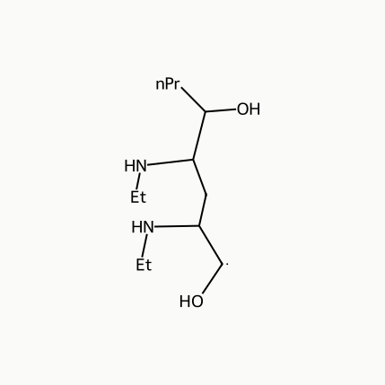 CCCC(O)C(CC([CH]O)NCC)NCC